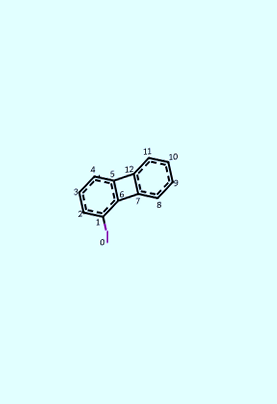 Ic1cc[c]c2c1-c1ccccc1-2